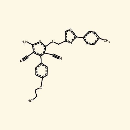 Cc1ccc(-c2nc(CSc3nc(N)c(C#N)c(-c4ccc(OCCO)cc4)c3C#N)cs2)cc1